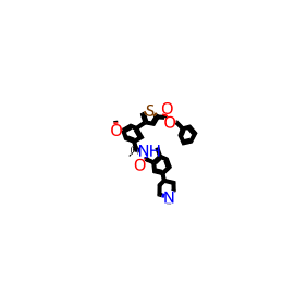 COc1cc(-c2csc(C(=O)OCc3ccccc3)c2)cc([C@@H](C)NC(=O)c2cc(C3CCN(C)CC3)ccc2C)c1